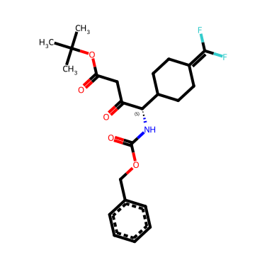 CC(C)(C)OC(=O)CC(=O)[C@@H](NC(=O)OCc1ccccc1)C1CCC(=C(F)F)CC1